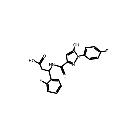 O=C(O)CC(NC(=O)c1cc(O)n(-c2ccc(F)cc2)n1)c1ccccc1F